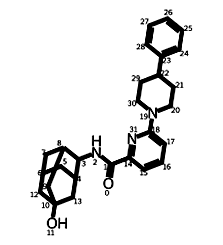 O=C(NC1C2CC3CC1CC(O)(C3)C2)c1cccc(N2CCC(c3ccccc3)CC2)n1